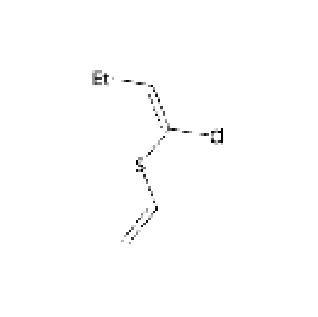 C=CS/C(Cl)=C\CC